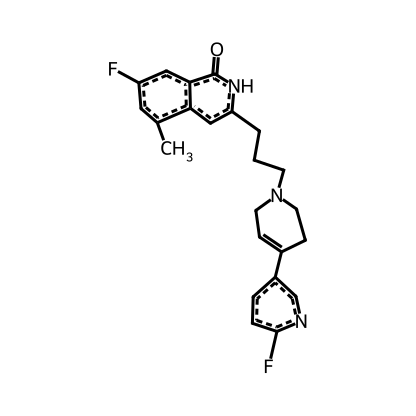 Cc1cc(F)cc2c(=O)[nH]c(CCCN3CC=C(c4ccc(F)nc4)CC3)cc12